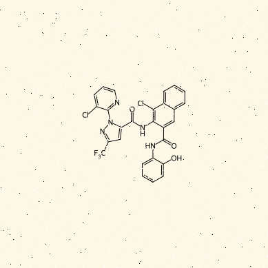 O=C(Nc1ccccc1O)c1cc2ccccc2c(Cl)c1NC(=O)c1cc(C(F)(F)F)nn1-c1ncccc1Cl